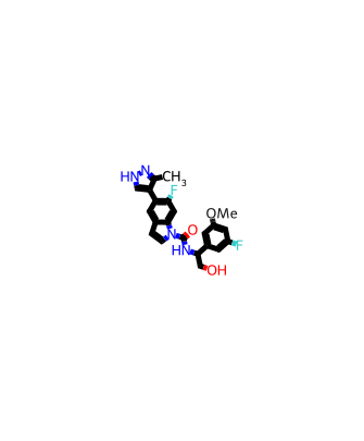 COc1cc(F)cc(C(CO)NC(=O)n2ccc3cc(-c4c[nH]nc4C)c(F)cc32)c1